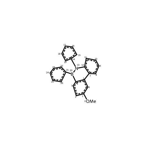 COc1ccc2c(c1)-c1ccccc1N(c1ccccc1)B2c1ccccc1